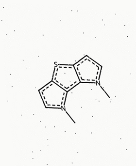 Cn1ccc2sc3ccn(C)c3c21